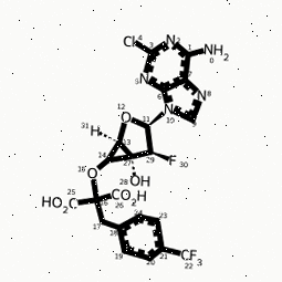 Nc1nc(Cl)nc2c1ncn2[C@@H]1O[C@@H]2C(OC(Cc3ccc(C(F)(F)F)cc3)(C(=O)O)C(=O)O)[C@]2(O)[C@@H]1F